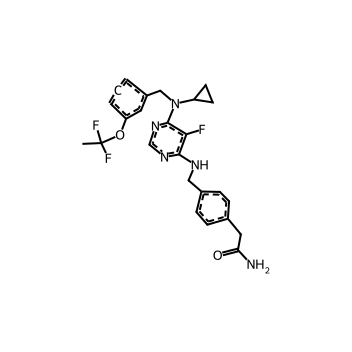 CC(F)(F)Oc1cccc(CN(c2ncnc(NCc3ccc(CC(N)=O)cc3)c2F)C2CC2)c1